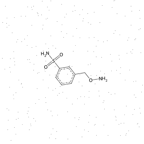 NOCc1cccc(S(N)(=O)=O)c1